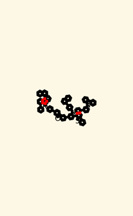 C1=CC2Sc3c(-c4ccccc4N(c4ccc(-c5ccc6c(c5)oc5ccc(-c7ccc(-c8cccc9c8sc8ccccc89)c(N(c8ccc(-c9cccc(-n%10c%11ccccc%11c%11ccccc%11%10)c9)cc8)c8ccc(-c9cccc%10ccccc9%10)cc8)c7)cc56)cc4)c4ccc(-c5cccc6ccccc56)cc4)cccc3C2C=C1